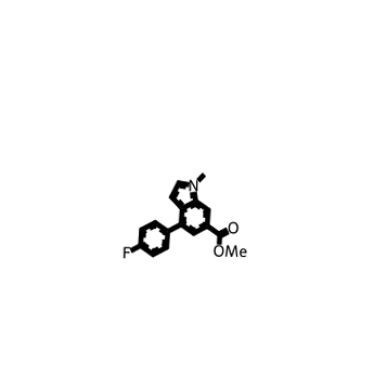 COC(=O)c1cc(-c2ccc(F)cc2)c2ccn(C)c2c1